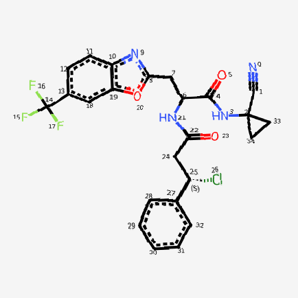 N#CC1(NC(=O)C(Cc2nc3ccc(C(F)(F)F)cc3o2)NC(=O)C[C@H](Cl)c2ccccc2)CC1